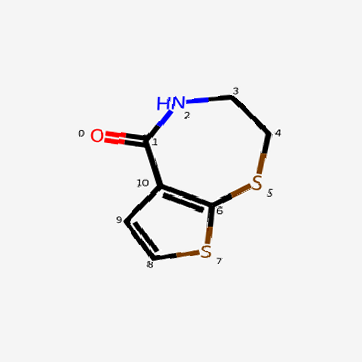 O=C1NCCSc2sccc21